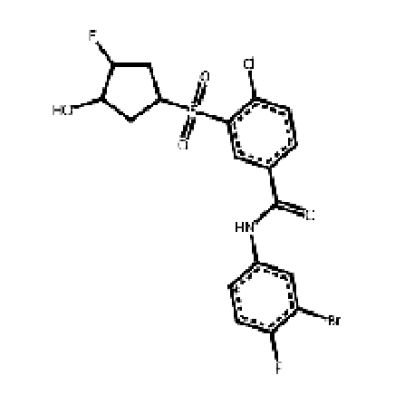 O=C(Nc1ccc(F)c(Br)c1)c1ccc(Cl)c(S(=O)(=O)C2CC(O)C(F)C2)c1